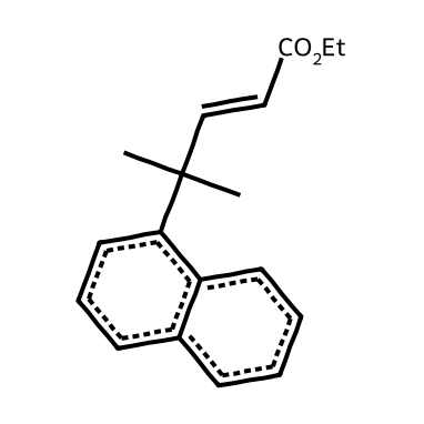 CCOC(=O)C=CC(C)(C)c1cccc2ccccc12